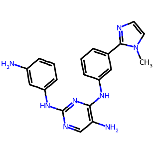 Cn1ccnc1-c1cccc(Nc2nc(Nc3cccc(N)c3)ncc2N)c1